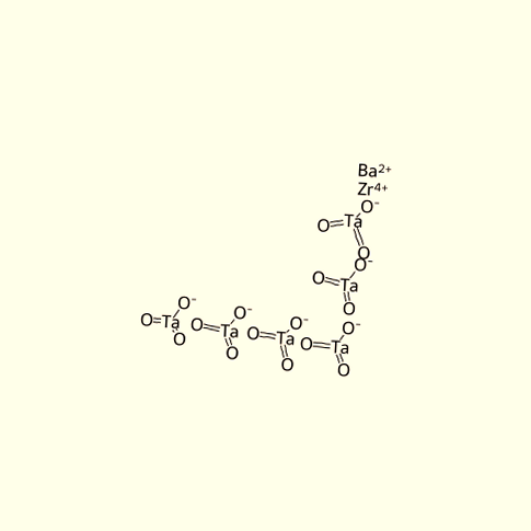 [Ba+2].[O]=[Ta](=[O])[O-].[O]=[Ta](=[O])[O-].[O]=[Ta](=[O])[O-].[O]=[Ta](=[O])[O-].[O]=[Ta](=[O])[O-].[O]=[Ta](=[O])[O-].[Zr+4]